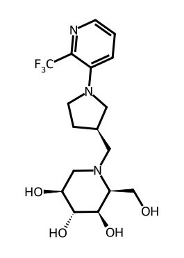 OC[C@H]1[C@@H](O)[C@H](O)[C@@H](O)CN1C[C@H]1CCN(c2cccnc2C(F)(F)F)C1